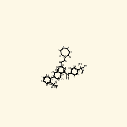 FC(F)(F)c1ccc(Nc2nc(CCN3CCCCCC3)nc3cc(-c4ncccc4C(F)(F)F)ccc23)cc1